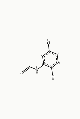 S=[C]Nc1cc(Cl)ccc1Cl